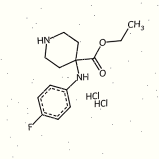 CCOC(=O)C1(Nc2ccc(F)cc2)CCNCC1.Cl.Cl